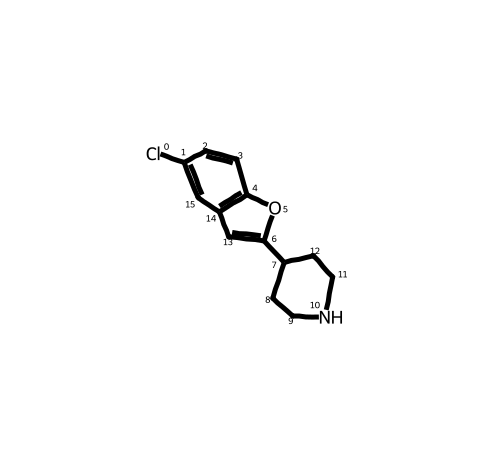 Clc1ccc2oc(C3CCNCC3)cc2c1